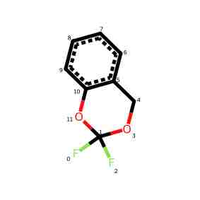 FC1(F)OCc2ccccc2O1